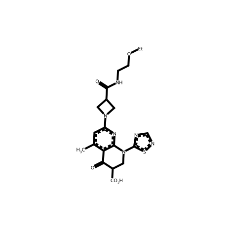 CCOCCNC(=O)C1CN(c2cc(C)c3c(n2)N(c2ncns2)CC(C(=O)O)C3=O)C1